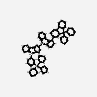 c1ccc(C2(c3ccccc3)c3ccccc3-c3ccc(-c4cccc5c4c4ccccc4n5-c4ccc5c(c4)c4ccccc4n5-c4cccc([Si](c5ccccc5)(c5ccccc5)c5ccccc5)c4)cc32)cc1